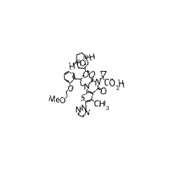 COCCOc1ccccc1C(Cn1c(=O)n(C2(C(=O)O)CC2)c(=O)c2c(C)c(-n3nccn3)sc21)OC1C[C@H]2CC[C@@H](C1)O2